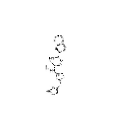 CC(C)C[C@H](NC(=O)c1ccc2ccccc2c1)C(=O)N[C@H]1CCN(Cc2cc[nH]c2)C1